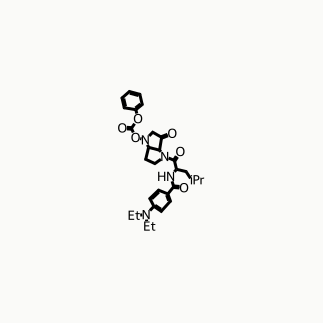 CCN(CC)c1ccc(C(=O)NC(CC(C)C)C(=O)N2CCC3C2C(=O)CN3OC(=O)Oc2ccccc2)cc1